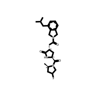 CC(C)Cc1cccc2c1CN(C(=O)C[C@@H]1C[C@@H](C(=O)N3CC(F)C[C@H]3C)NC1=O)C2